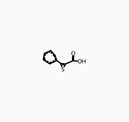 O=C(O)C1=C(c2ccccc2)S1